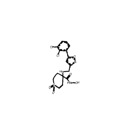 O=C(NO)C1(NCc2cc(-c3cccc(Cl)c3Cl)on2)CCS(=O)(=O)CC1